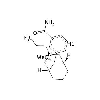 CO[C@@]1(c2cccc(C(N)=O)c2)[C@@H]2CCC[C@H]1CN(CCC(F)(F)F)C2.Cl